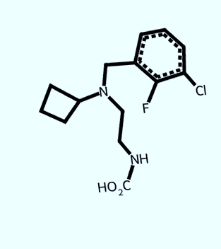 O=C(O)NCCN(Cc1cccc(Cl)c1F)C1CCC1